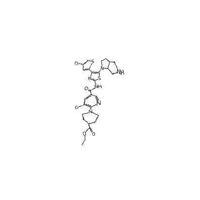 CCOC(=O)C1CCN(c2ncc(C(=O)Nc3nc(-c4cc(Cl)cs4)c(N4CCC5CNCC54)s3)cc2Cl)CC1